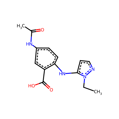 CCn1nccc1Nc1ccc(NC(C)=O)cc1C(=O)O